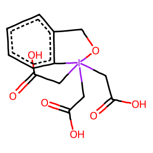 O=C(O)CI1(CC(=O)O)(CC(=O)O)OCc2ccccc21